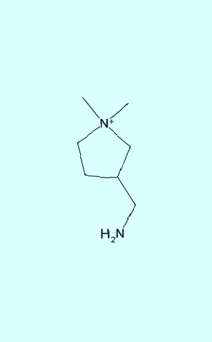 C[N+]1(C)CCC(CN)C1